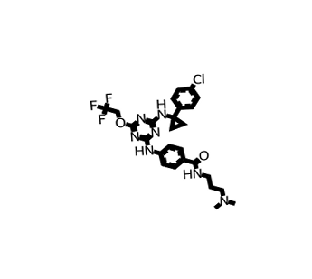 CN(C)CCCNC(=O)c1ccc(Nc2nc(NC3(c4ccc(Cl)cc4)CC3)nc(OCC(F)(F)F)n2)cc1